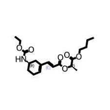 CCCCOC(=O)[C@@H](C)OC(=O)/C=C/C1=CCC[C@@H](NC(=O)OCC)C1